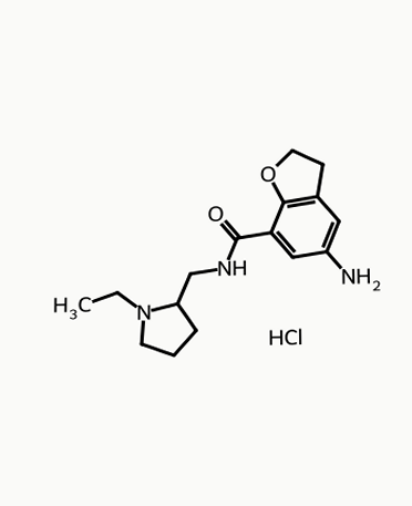 CCN1CCCC1CNC(=O)c1cc(N)cc2c1OCC2.Cl